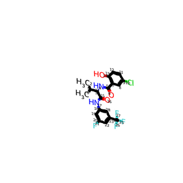 CC(C)[C@H](NC(=O)c1cc(Cl)ccc1O)C(=O)Nc1cc(F)cc(C(F)(F)F)c1